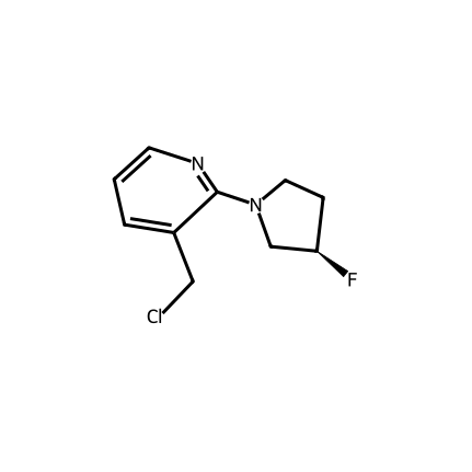 F[C@@H]1CCN(c2ncccc2CCl)C1